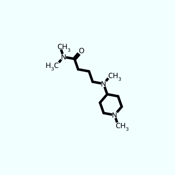 CN1CCC(N(C)CCCC(=O)N(C)C)CC1